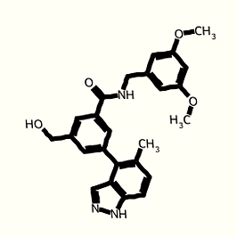 COc1cc(CNC(=O)c2cc(CO)cc(-c3c(C)ccc4[nH]ncc34)c2)cc(OC)c1